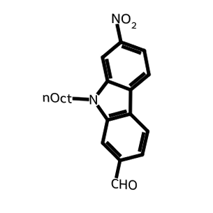 CCCCCCCCn1c2cc(C=O)ccc2c2ccc([N+](=O)[O-])cc21